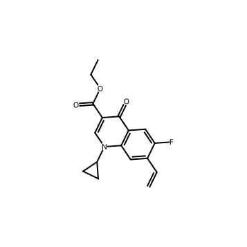 C=Cc1cc2c(cc1F)c(=O)c(C(=O)OCC)cn2C1CC1